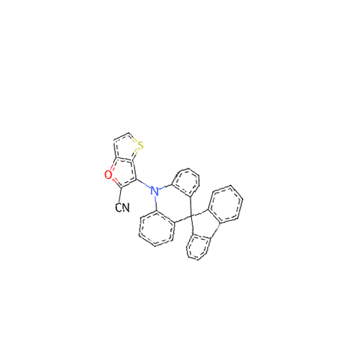 N#Cc1oc2ccsc2c1N1c2ccccc2C2(c3ccccc3-c3ccccc32)c2ccccc21